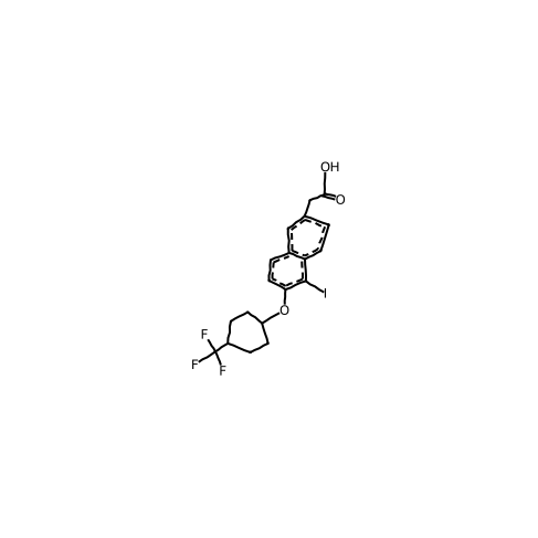 O=C(O)Cc1ccc2c(I)c(OC3CCC(C(F)(F)F)CC3)ccc2c1